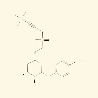 COc1ccc(OC2O[C@H](CCP(=O)(O)CC#C[Si](C)(C)C)[C@@H](O)[C@H](O)[C@@H]2O)cc1